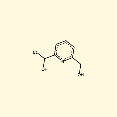 CCC(O)c1cccc(CO)n1